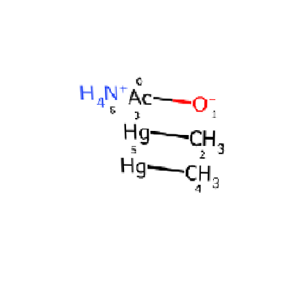 CC(=O)[O-].[CH3][Hg].[CH3][Hg].[NH4+]